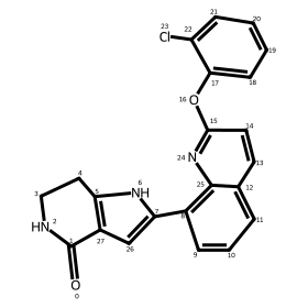 O=C1NCCc2[nH]c(-c3cccc4ccc(Oc5ccccc5Cl)nc34)cc21